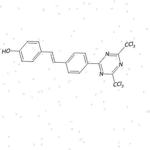 Oc1ccc(C=Cc2ccc(-c3nc(C(Cl)(Cl)Cl)nc(C(Cl)(Cl)Cl)n3)cc2)cc1